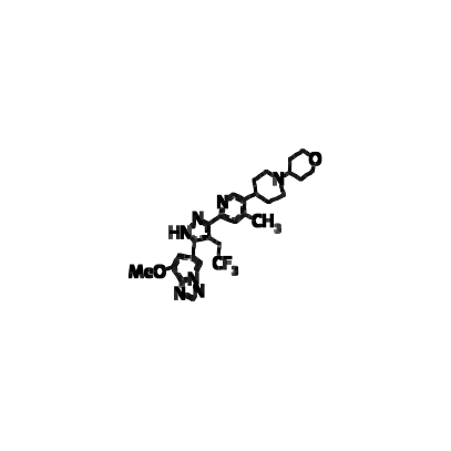 COc1cc(-c2[nH]nc(-c3cc(C)c(C4CCN(C5CCOCC5)CC4)cn3)c2CC(F)(F)F)cn2ncnc12